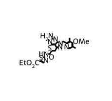 CCOC(=O)c1cnc(NC(=O)C2Cc3nn(Cc4ncc(C)c(OC)c4C)c4nc(N)nc(c34)S2)s1